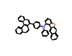 c1ccc(N(c2ccc(-c3cc4ccccc4c4c3ccc3ccccc34)cc2)c2cccc3sc4cc5ccccc5cc4c23)cc1